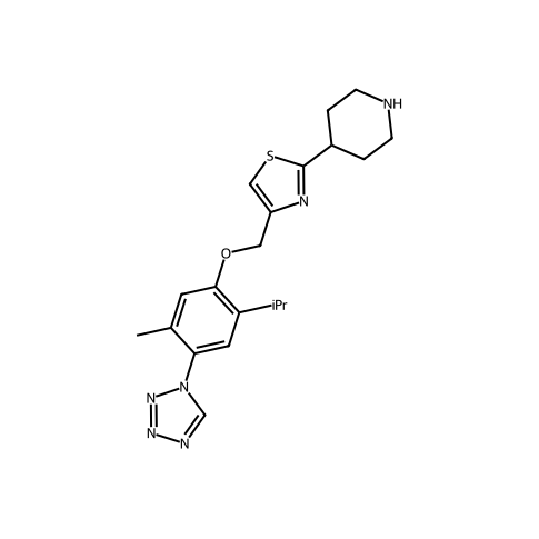 Cc1cc(OCc2csc(C3CCNCC3)n2)c(C(C)C)cc1-n1cnnn1